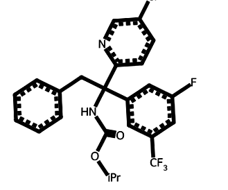 CC(C)OC(=O)NC(Cc1ccccc1)(c1cc(F)cc(C(F)(F)F)c1)c1ccc(Cl)cn1